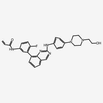 C=CC(=O)Nc1ccc(F)c(-c2cccc3cnc(Nc4ccc(N5CCN(CCO)CC5)cc4)nc23)c1